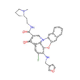 CN1CCCC1CCNC(=O)c1cn2c3c(c(NCc4ccoc4)c(F)cc3c1=O)Oc1cc3ccccc3cc1-2